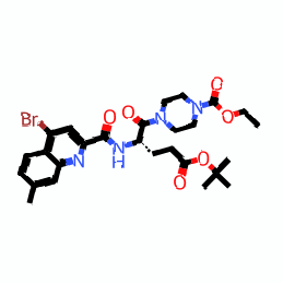 CCOC(=O)N1CCN(C(=O)[C@H](CCC(=O)OC(C)(C)C)NC(=O)c2cc(Br)c3ccc(C)cc3n2)CC1